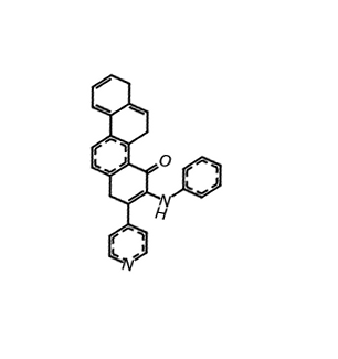 O=C1C(Nc2ccccc2)=C(c2ccncc2)Cc2ccc3c(c21)CC=C1CC=CC=C13